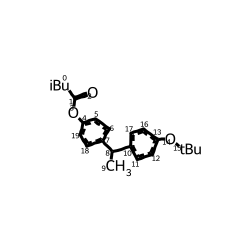 CCC(C)C(=O)Oc1ccc(C(C)c2ccc(OC(C)(C)C)cc2)cc1